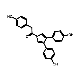 O=C(Cc1ccc(O)cc1)n1cc(-c2ccc(O)cc2)c(-c2ccc(O)cc2)c1